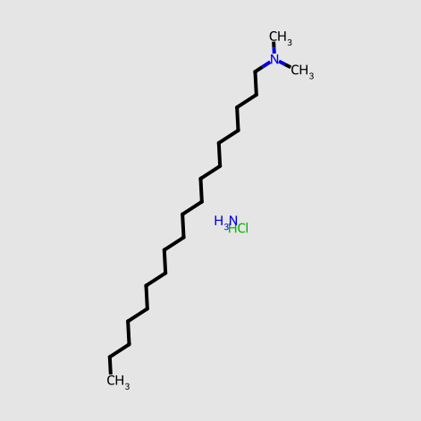 CCCCCCCCCCCCCCCCCCN(C)C.Cl.N